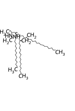 C=CC(CSCC(CCC(=C)CCCCCCCCCCCCCCC)CC(=C)CCCCCCCCCCCCCCC)NC(=C)NCCCCCCCCCCCCCC